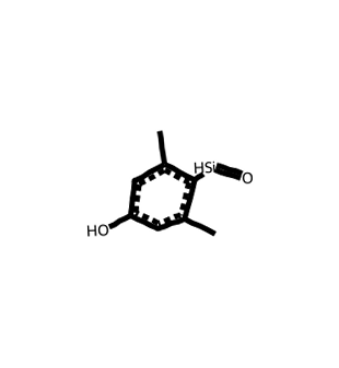 Cc1cc(O)cc(C)c1[SiH]=O